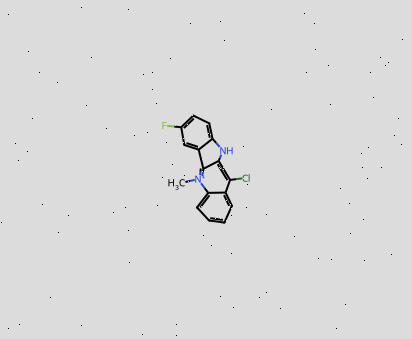 C[n+]1c2ccccc2c(Cl)c2[nH]c3ccc(F)cc3c21